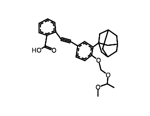 COC(C)OCOc1ccc(C#Cc2ccccc2C(=O)O)cc1C12CC3CC(CC(C3)C1)C2